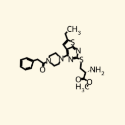 CCc1cc2c(N3CCN(C(=O)Cc4ccccc4)CC3)nc(SC[C@H](N)C(=O)OC)nc2s1